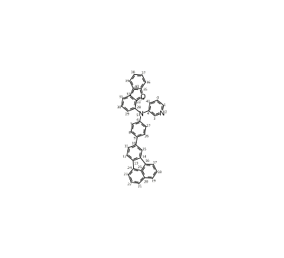 c1cncc(N(c2ccc(-c3ccc4c(c3)-c3cccc5cccc-4c35)cc2)c2cccc3c2oc2ccccc23)c1